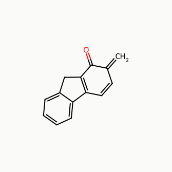 C=C1C=CC2=C(Cc3ccccc32)C1=O